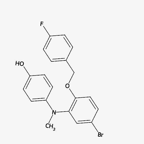 CN(c1ccc(O)cc1)c1cc(Br)ccc1OCc1ccc(F)cc1